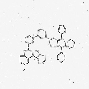 c1ccc(-c2c3ccccc3c(-c3ccccc3)c3cc(-c4cccc(-c5cccc(-c6cc7ccccc7c7c6oc6ccccc67)c5)c4)ccc23)cc1